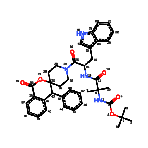 CC(C)(C)OC(=O)NC(C)(C)C(=O)N[C@H](Cc1c[nH]c2ccccc12)C(=O)N1CCC2(CC1)OC(=O)c1ccccc1C2c1ccccc1